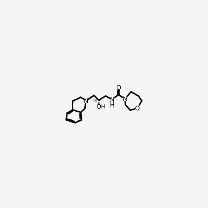 O=C(NC[C@H](O)CN1CCc2ccccc2C1)N1CCCOCC1